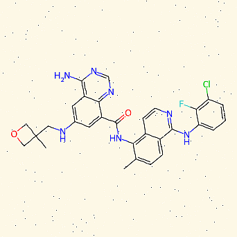 Cc1ccc2c(Nc3cccc(Cl)c3F)nccc2c1NC(=O)c1cc(NCC2(C)COC2)cc2c(N)ncnc12